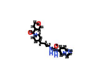 O=C(NCCCCC1CCN(C(=O)C2CCOCC2)CC1)Nc1ccc2nccn2c1